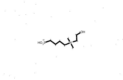 C[N+](C)(CCO)CCCCS(=O)(=O)O